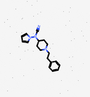 N#CN(C1CCN(CCc2ccccc2)CC1)n1cccc1